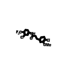 COc1cc(CCC(=O)Nc2ccc(C(F)(F)F)c(Cl)c2)ccc1Cl